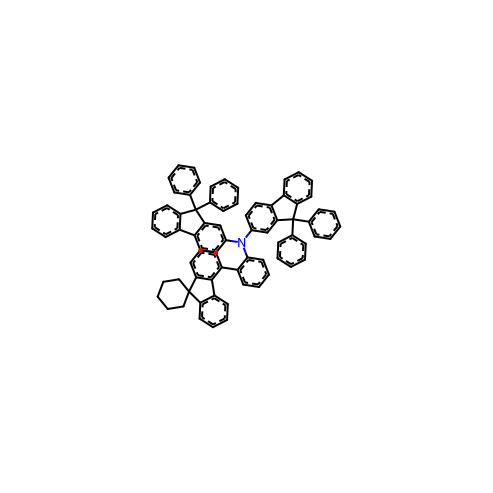 c1ccc(C2(c3ccccc3)c3ccccc3-c3ccc(N(c4ccc5c(c4)C(c4ccccc4)(c4ccccc4)c4ccccc4-5)c4ccccc4-c4cccc5c4-c4ccccc4C54CCCCC4)cc32)cc1